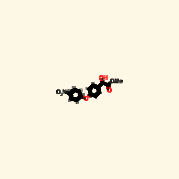 COC(=O)C(O)c1ccc(Oc2ccc([N+](=O)[O-])cc2)cc1